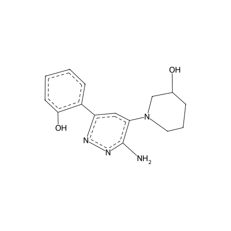 Nc1nnc(-c2ccccc2O)cc1N1CCCC(O)C1